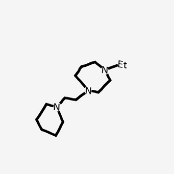 CCN1CCCN(CCN2CCCCC2)CC1